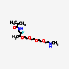 CNCCOCCOCCOCCOC(C)C(F)CNC(=O)C(C)C